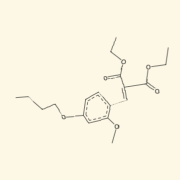 CCCCOc1ccc(C=C(C(=O)OCC)C(=O)OCC)c(OC)c1